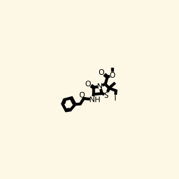 COC(=O)C1N2C(=O)C(NC(=O)Cc3ccccc3)C2SC1(C)CI